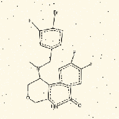 CN(Cc1ccc(Br)c(F)c1)C1COCc2[nH]c(=O)c3cc(F)c(F)cc3c21